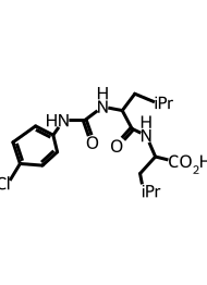 CC(C)CC(NC(=O)C(CC(C)C)NC(=O)Nc1ccc(Cl)cc1)C(=O)O